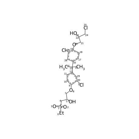 CCS(=O)(=O)CC(O)COc1ccc(C(C)(C)c2ccc(OCC(O)CCl)c(Cl)c2)cc1Cl